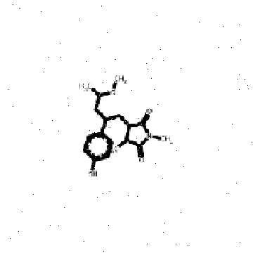 COC(C)CC(CC1C(=O)N(C)C(=O)C1C)c1ccc(S)cc1